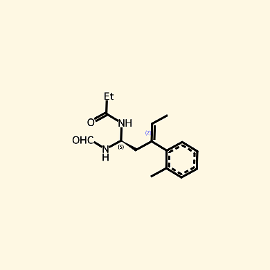 C/C=C(/C[C@@H](NC=O)NC(=O)CC)c1ccccc1C